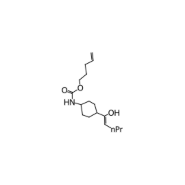 C=CCCCOC(=O)NC1CCC(C(O)=CCCC)CC1